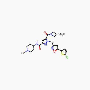 CC(C)N1CCC(NC(=O)c2cc(C(=O)N3CC(C(=O)O)C3)n(Cc3cc(-c4ccc(Cl)s4)on3)n2)CC1